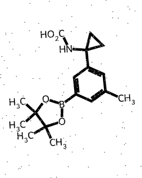 Cc1cc(B2OC(C)(C)C(C)(C)O2)cc(C2(NC(=O)O)CC2)c1